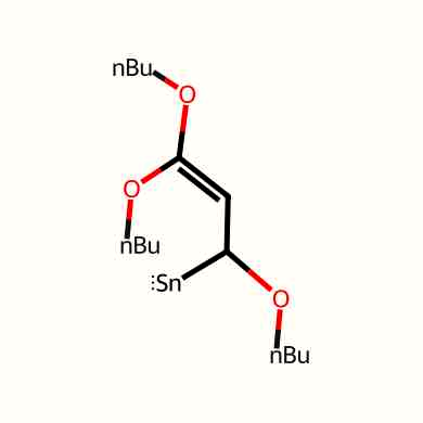 CCCCOC(=C[CH]([Sn])OCCCC)OCCCC